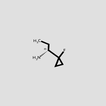 CC[C@@H](N)C1(F)CC1